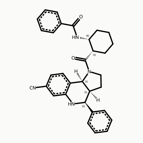 [C-]#[N+]c1ccc2c(c1)N[C@H](c1ccccc1)[C@@H]1CCN(C(=O)[C@H]3CCCC[C@H]3NC(=O)c3ccccc3)[C@H]21